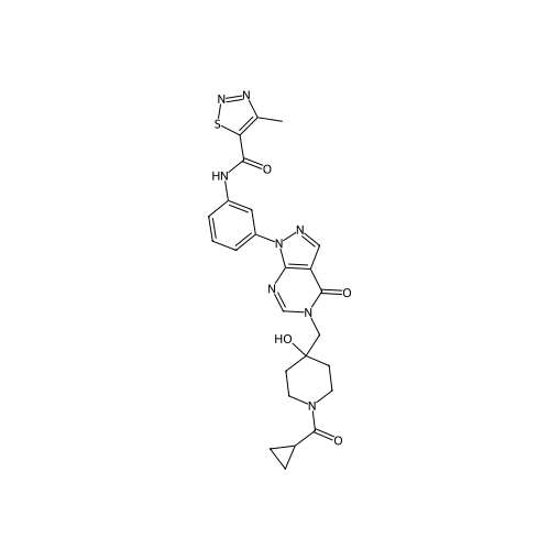 Cc1nnsc1C(=O)Nc1cccc(-n2ncc3c(=O)n(CC4(O)CCN(C(=O)C5CC5)CC4)cnc32)c1